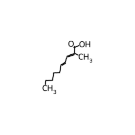 CCCCC/C=C/C=C(\C)C(=O)O